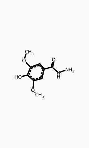 COc1cc(C(=O)NN)cc(OC)c1O